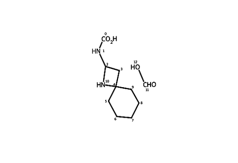 O=C(O)NC1CC2(CCCCC2)N1.O=CO